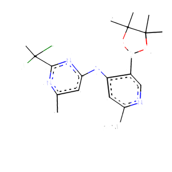 CC(=O)Nc1cc(Nc2cc(C)nc(C(C)(F)F)n2)c(B2OC(C)(C)C(C)(C)O2)cn1